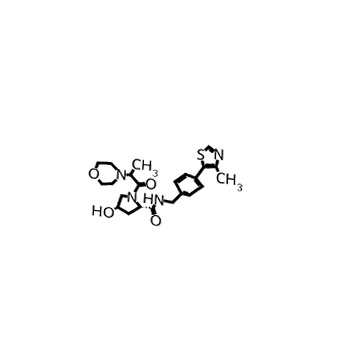 Cc1ncsc1-c1ccc(CNC(=O)[C@@H]2C[C@@H](O)CN2C(=O)C(C)N2CCOCC2)cc1